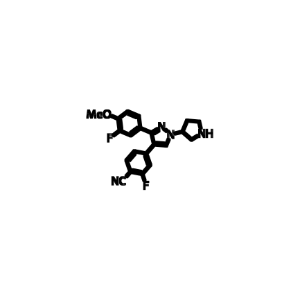 COc1ccc(-c2nn(C3CCNC3)cc2-c2ccc(C#N)c(F)c2)cc1F